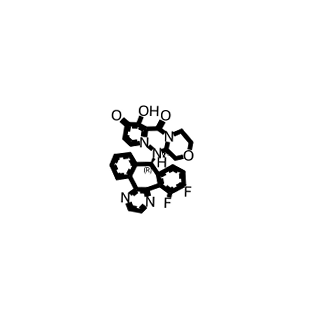 O=C1c2c(O)c(=O)ccn2N([C@@H]2c3ccccc3-c3nccnc3-c3c2ccc(F)c3F)[C@@H]2COCCN12